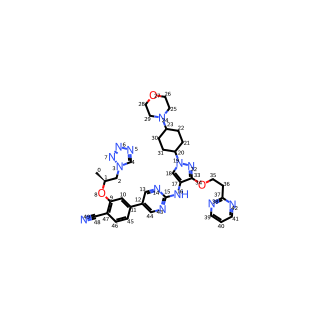 C[C@@H](Cn1cnnn1)Oc1cc(-c2cnc(Nc3cn(C4CCC(N5CCOCC5)CC4)nc3OCCc3ncccn3)nc2)ccc1C#N